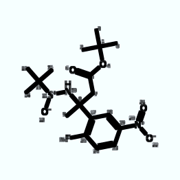 CC(C)(C)OC(=O)CC(C)(N[S+]([O-])C(C)(C)C)c1cc([N+](=O)[O-])ccc1F